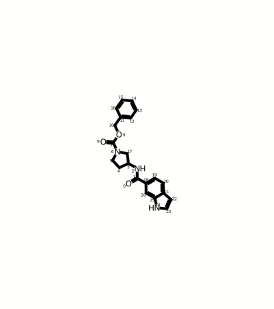 O=C(NC1CCN(C(=O)OCc2ccccc2)C1)c1ccc2cc[nH]c2c1